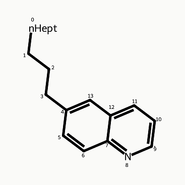 CCCCCCCCCCc1ccc2n[c]ccc2c1